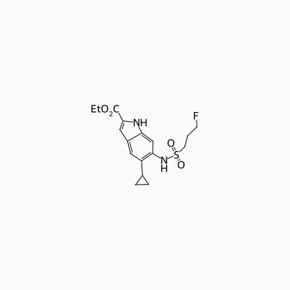 CCOC(=O)c1cc2cc(C3CC3)c(NS(=O)(=O)CCCF)cc2[nH]1